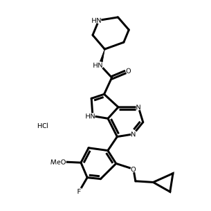 COc1cc(-c2ncnc3c(C(=O)N[C@@H]4CCCNC4)c[nH]c23)c(OCC2CC2)cc1F.Cl